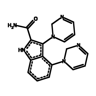 NC(=O)c1[nH]c2cccc(N3C=CC=NC3)c2c1N1C=CC=NC1